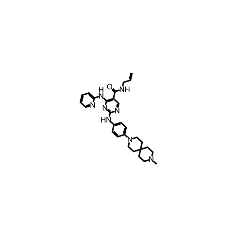 C=CCNC(=O)c1cnc(Nc2ccc(N3CCC4(CCN(C)CC4)CC3)cc2)nc1Nc1ccccn1